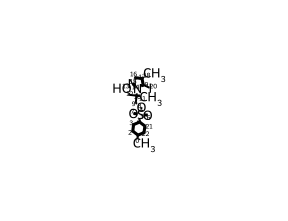 Cc1ccc(S(=O)(=O)OCC(C)(CO)n2ncc(C)c2I)cc1